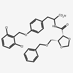 O=C(O)C(Cc1ccc(OCc2c(Cl)cccc2Cl)cc1)NC(=O)[C@@H]1OCO[C@@H]1COCc1ccccc1